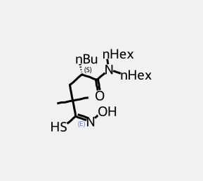 CCCCCCN(CCCCCC)C(=O)[C@@H](CCCC)CC(C)(C)/C(S)=N\O